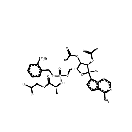 CCOC(=O)c1ccccc1CO[P@@](=O)(N[C@@H](C)C(=O)OCC(CC)CC)OC[C@H]1O[C@@](C#N)(c2ccc3c(N)ncnn23)[C@H](OC(=O)C(C)C)[C@@H]1OC(=O)C(C)C